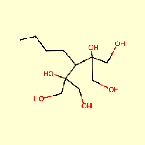 CCCCC(C(O)(CO)CO)C(O)(CO)CO